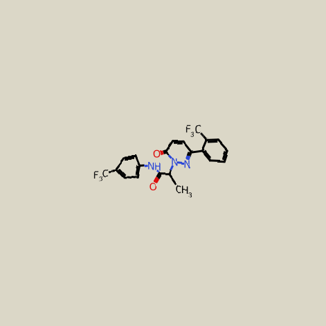 CC(C(=O)Nc1ccc(C(F)(F)F)cc1)n1nc(-c2ccccc2C(F)(F)F)ccc1=O